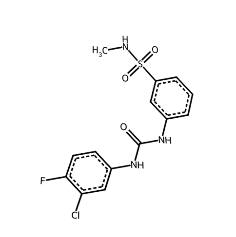 CNS(=O)(=O)c1cccc(NC(=O)Nc2ccc(F)c(Cl)c2)c1